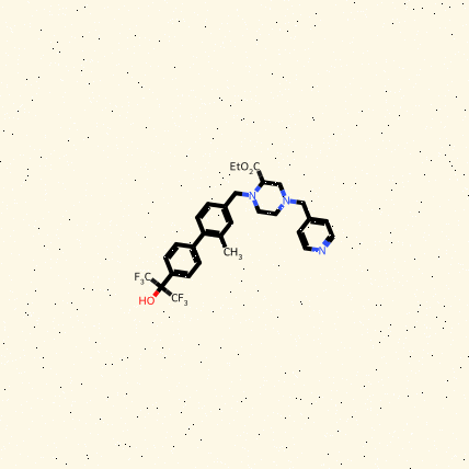 CCOC(=O)C1CN(Cc2ccncc2)CCN1Cc1ccc(-c2ccc(C(O)(C(F)(F)F)C(F)(F)F)cc2)c(C)c1